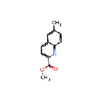 COC(=O)c1ccc2cc(C)ccc2n1